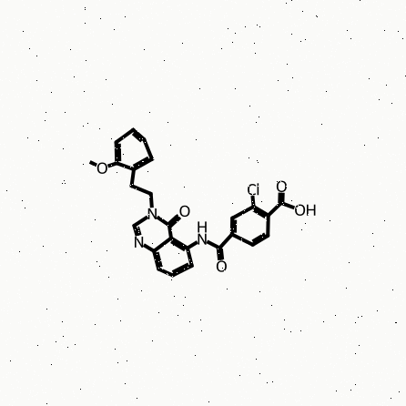 COc1ccccc1CCn1cnc2cccc(NC(=O)c3ccc(C(=O)O)c(Cl)c3)c2c1=O